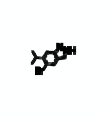 CC(C)c1cc2n[nH]cc2cc1Br